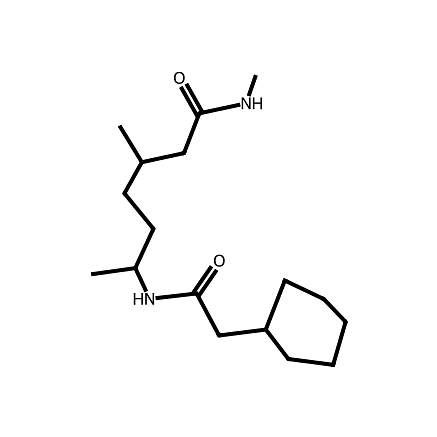 CNC(=O)CC(C)CCC(C)NC(=O)CC1CCCCC1